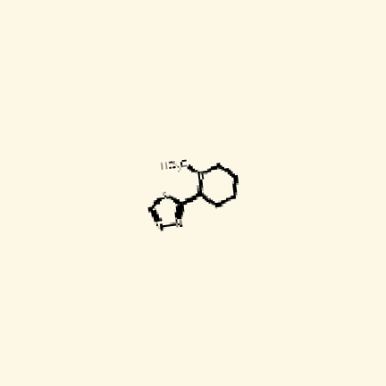 O=C(O)N1CCCCC1c1nncs1